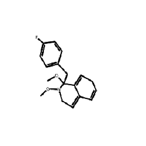 CON1CC=C2C=CCC=C2C1(Cc1ccc(F)cc1)OC